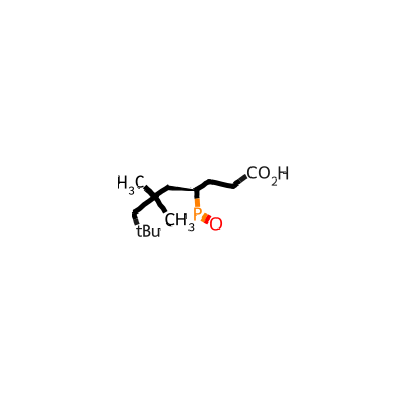 CC(C)(C)CC(C)(C)C[C@@H](CCC(=O)O)P=O